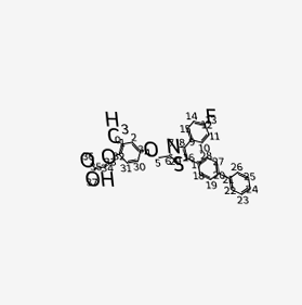 Cc1cc(OCc2nc(-c3ccc(F)cc3)c(-c3ccc(-c4ccccc4)cc3)s2)ccc1OCC(=O)O